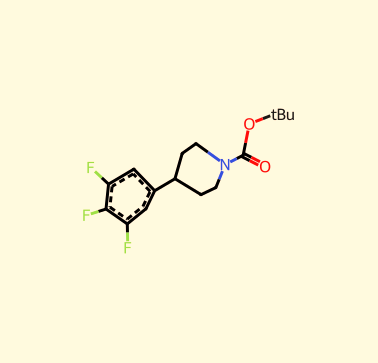 CC(C)(C)OC(=O)N1CCC(c2cc(F)c(F)c(F)c2)CC1